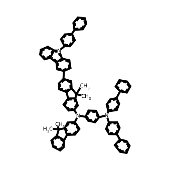 CC1(C)c2ccccc2-c2ccc(N(c3ccc(N(c4ccc(-c5ccccc5)cc4)c4ccc(-c5ccccc5)cc4)cc3)c3ccc4c(c3)C(C)(C)c3cc(-c5ccc6c(c5)c5ccccc5n6-c5ccc(-c6ccccc6)cc5)ccc3-4)cc21